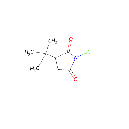 CC(C)(C)C1CC(=O)N(Cl)C1=O